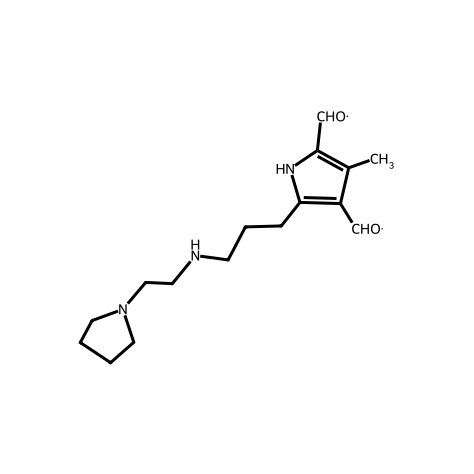 Cc1c([C]=O)[nH]c(CCCNCCN2CCCC2)c1[C]=O